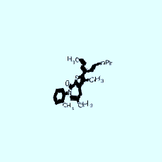 C\C=C/C=C(\C=C\CCC)c1sc2c(c1C)CC(C)=CN(c1ccccc1C)C2=O